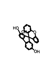 Oc1ccc2c(c1)C1(c3ccccc3Oc3ccccc31)c1c-2ccc(O)c1O